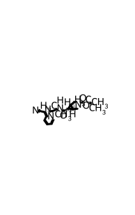 CC(C)(C)OC(=O)N1C[C@@H]2[C@H](C1)[C@H]2C(=O)NC(C)(C)c1nc(C#N)c2ccccn12